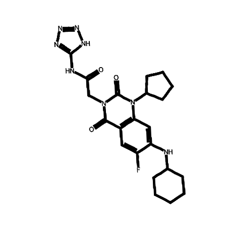 O=C(Cn1c(=O)c2cc(F)c(NC3CCCCC3)cc2n(C2CCCC2)c1=O)Nc1nnn[nH]1